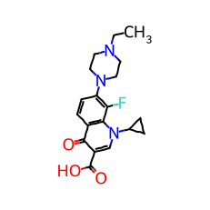 CCN1CCN(c2ccc3c(=O)c(C(=O)O)cn(C4CC4)c3c2F)CC1